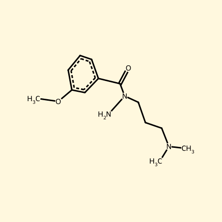 COc1cccc(C(=O)N(N)CCCN(C)C)c1